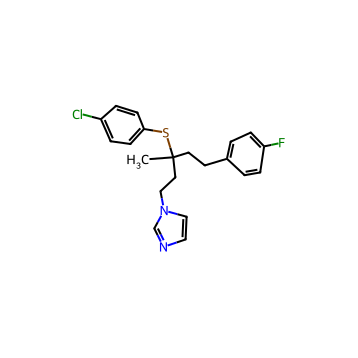 CC(CCc1ccc(F)cc1)(CCn1ccnc1)Sc1ccc(Cl)cc1